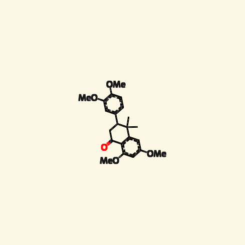 COc1cc(OC)c2c(c1)C(C)(C)C(c1ccc(OC)c(OC)c1)CC2=O